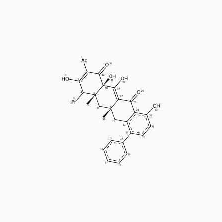 CC(=O)C1=C(O)C(C(C)C)[C@@]2(C)C[C@@]3(C)Cc4c(-c5ccccc5)ccc(O)c4C(=O)C3=C(O)[C@@]2(O)C1=O